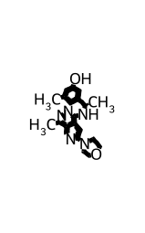 Cc1cc(O)cc([C@@H](C)Nc2nnc(C)c3cnc(N4CCOCC4)cc23)c1